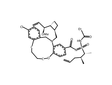 C=CC[C@H](C)[C@@H](C)S(=O)(=NC(=O)c1ccc2c(c1)N(C[C@@H]1CC[C@H]1[C@H](C=C)OC)Cc1ccc(Cl)cc1CCCCO2)NC(=O)CC